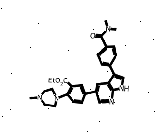 CCOC(=O)c1cc(-c2cnc3[nH]cc(-c4ccc(C(=O)N(C)C)cc4)c3c2)ccc1N1CCN(C)CC1